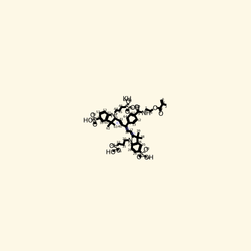 C=C(C)C(=O)OCCNC(=O)c1ccc(C(=C\C=C2/N(CCCS(=O)(=O)O)c3ccc(S(=O)(=O)O)cc3C2(C)C)/C=C/C2=[N+](CCCS(=O)(=O)O)c3ccc(S(=O)(=O)O)cc3C2(C)C)cc1.[KH]